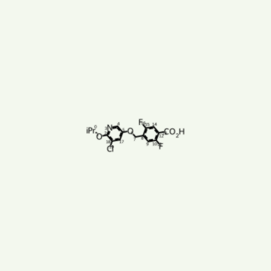 CC(C)Oc1ncc(OCc2cc(F)c(C(=O)O)cc2F)cc1Cl